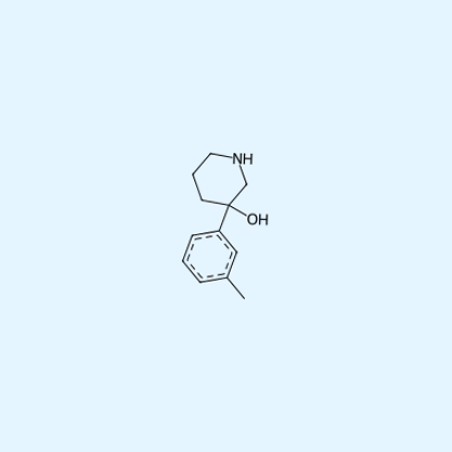 Cc1cccc(C2(O)CCCNC2)c1